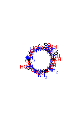 CCCC[C@H]1C(=O)N(C)[C@@H](CCCC)C(=O)N[C@@H](CC(C)C)C(=O)N[C@H](C(N)=O)COCC(=O)N[C@@H](Cc2ccc(O)cc2)C(=O)N2CCCC[C@H]2C(=O)N[C@@H](CC(N)=O)C(=O)N2CCC[C@H]2C(=O)N[C@@H](CN)C(=O)N[C@@H](CC(C)C)C(=O)N2C[C@H](O)C[C@H]2C(=O)N[C@@H](Cc2c[nH]c3ccccc23)C(=O)N[C@@H](CCN)C(=O)N[C@@H](Cc2cn(CC(=O)O)c3ccccc23)C(=O)N1C